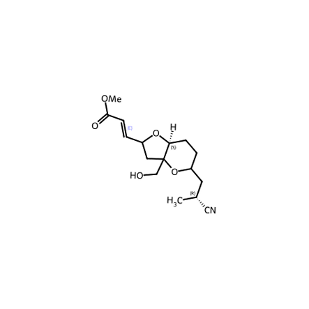 COC(=O)/C=C/C1CC2(CO)OC(C[C@@H](C)C#N)CC[C@@H]2O1